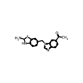 CC(=O)c1ccc2ncn(Cc3ccc4c(c3)SC(N)N4)c2c1